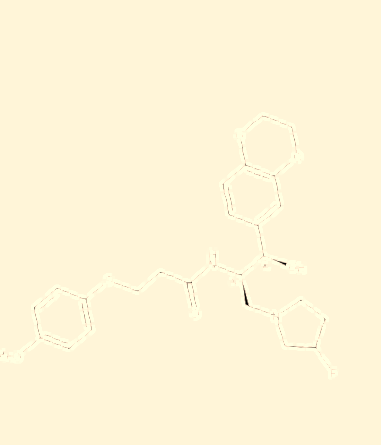 COc1ccc(OCCC(=O)N[C@H](CN2CCC(F)C2)[C@H](O)c2ccc3c(c2)OCCO3)cc1